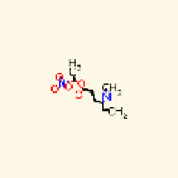 C=CC(CCC(=O)OC(C)O[N+](=O)[O-])NC